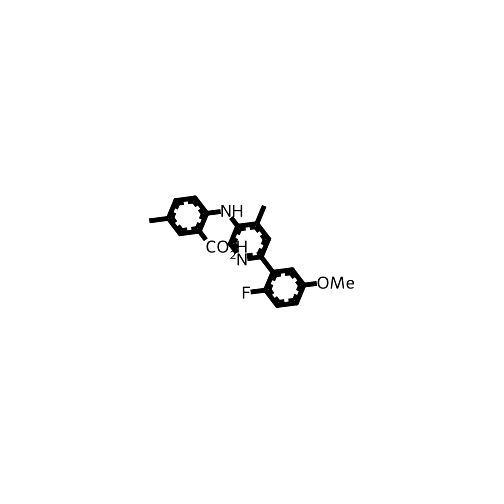 COc1ccc(F)c(-c2cc(C)c(Nc3ccc(C)cc3C(=O)O)cn2)c1